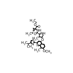 C=C[C@@H]1C[C@]1(NC(=O)[C@H]1NC[C@H](Oc2cc(-c3nc(C(C)C)cs3)nc3c(C)c(OC)ccc23)[C@H]1C)C(=O)OCC